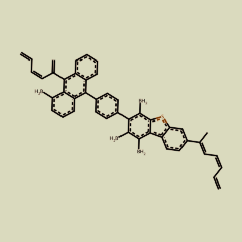 Bc1c(-c2ccc(-c3c4ccccc4c(C(=C)/C=C\C=C)c4c(B)cccc34)cc2)c(B)c2sc3cc(/C(C)=C/C=C\C=C)ccc3c2c1B